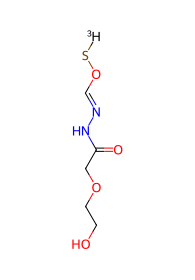 [3H]SOC=NNC(=O)COCCO